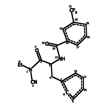 CCN(C#N)C(=O)C(Cc1ccccc1)NC(=O)c1cccc(C(F)(F)F)c1